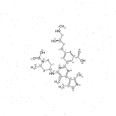 CNC[C@H](O)COc1cccc(-c2nc(NC3CCN(C(=O)O)C(C)C3)c(C)c(-c3c(C)noc3C)n2)c1.O=CO